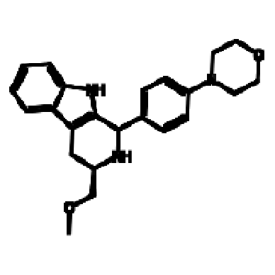 COC[C@H]1Cc2c([nH]c3ccccc23)C(c2ccc(N3CCOCC3)cc2)N1